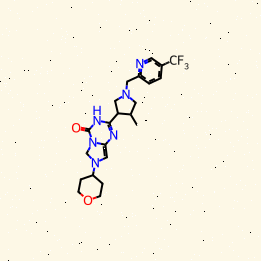 CC1CN(Cc2ccc(C(F)(F)F)cn2)CC1C1=NC2=CN(C3CCOCC3)CN2C(=O)N1